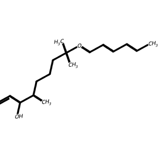 C=CC(O)C(C)CCCC(C)(C)OCCCCCC